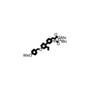 C=Cc1cc(OCc2ccc(OC)cc2)ccc1-c1ccc(CC(NC(=O)OC(C)(C)C)C(=O)OC)cc1